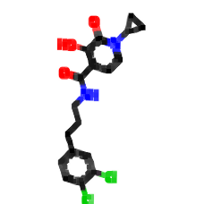 O=C(NCCCc1ccc(Cl)c(Cl)c1)c1ccn(C2CC2)c(=O)c1O